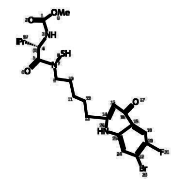 COC(=O)N[C@H](C(=O)N(S)CCCCCc1cc(=O)c2cc(F)c(Br)cc2[nH]1)C(C)C